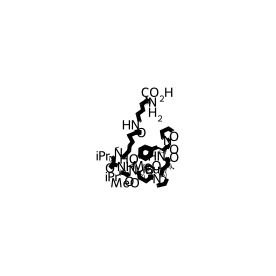 CC[C@H](C)C([C@@H](CC(=O)N1CCC[C@H]1[C@H](OC)[C@@H](C)C(=O)N[C@@H](Cc1ccc(O)cc1)C(=O)N1CCCCO1)OC)N(C)C(=O)[C@@H](NC(=O)[C@H](C(C)C)N(C)CCCCCC(=O)NCCCC[C@H](N)C(=O)O)C(C)C